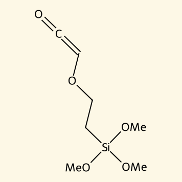 CO[Si](CCOC=C=O)(OC)OC